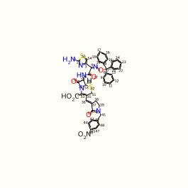 Nc1nc(/C(=N/OC(c2ccccc2)(c2ccccc2)c2ccccc2)C(=O)N[C@@H]2C(=O)N3C(C(=O)O)=C(/C=C4\CCN(Cc5ccc([N+](=O)[O-])cc5)C4=O)CS[C@H]23)cs1